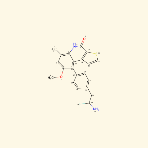 COc1cc(C)c2[nH]c(=O)c3sccc3c2c1-c1ccc(CC(N)F)cc1